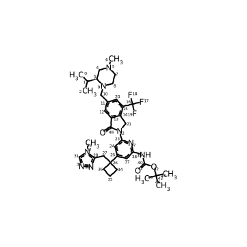 CC(C)[C@H]1CN(C)CCN1Cc1cc2c(c(C(F)(F)F)c1)CN(c1cc(C3(Cc4nncn4C)CCC3)cc(NC(=O)OC(C)(C)C)n1)C2=O